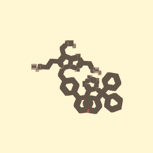 CCCc1c(CC)c2nc(CC)nn2n1Cc1ccc(-c2ccccc2-c2nnnn2C(c2ccccc2)(c2ccccc2)c2ccccc2)cc1